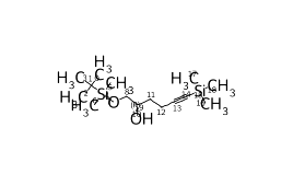 CC(C)(C)[Si](C)(C)OC[C@H](O)CCC#C[Si](C)(C)C